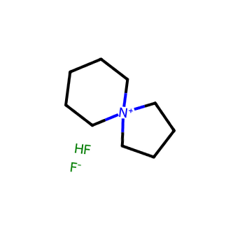 C1CC[N+]2(CC1)CCCC2.F.[F-]